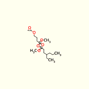 CCCC(CC)CC[Si]1(OC)O[Si](CCCOC2CO2)(OC)O1